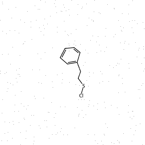 ClSCCc1ccccc1